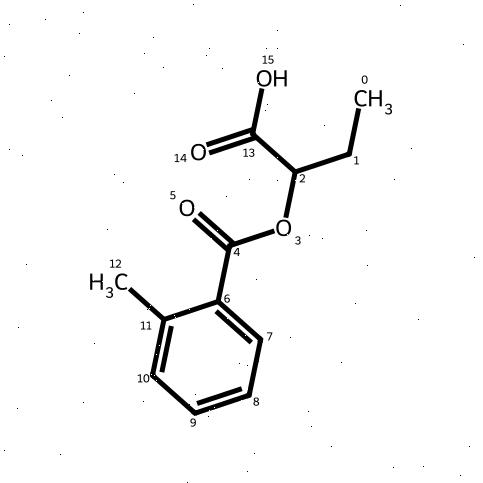 CCC(OC(=O)c1ccccc1C)C(=O)O